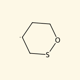 [CH]1CCOSC1